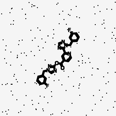 O=C(Oc1ncn(Cc2cccc(F)c2)n1)c1ccnc(-c2ncnn2Cc2cccc(F)c2)c1